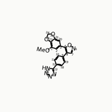 COc1cc(-c2oncc2-c2ccc(-c3nnn[nH]3)cc2)cc2c1OCO2